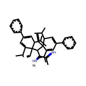 C=CC1(C(C(=N)C(C)=N)C2(C=C)C(C(C)C)=CC(c3ccccc3)=CC2C(C)C)C(C(C)C)=CC(c2ccccc2)=CC1C(C)C.[Ni]